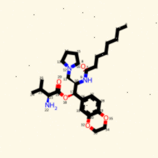 CCCCCCCC(=O)N[C@H](CN1CCCC1)[C@H](OC(=O)[C@@H](N)C(C)C)c1ccc2c(c1)OCCO2